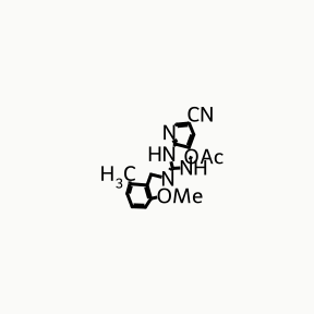 COc1cccc(C)c1CN=C(NOC(C)=O)Nc1ccc(C#N)cn1